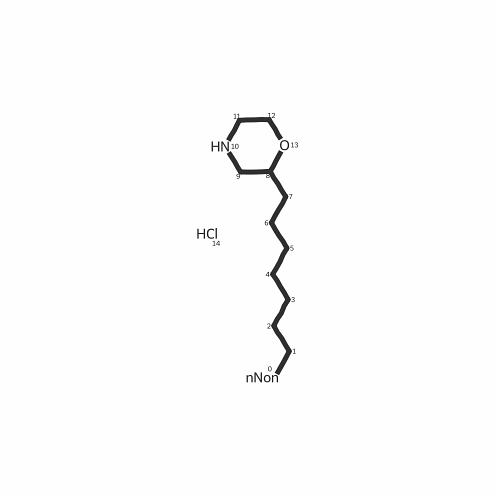 CCCCCCCCCCCCCCCCC1CNCCO1.Cl